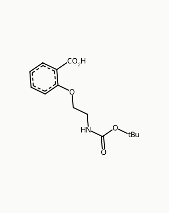 CC(C)(C)OC(=O)NCCOc1ccccc1C(=O)O